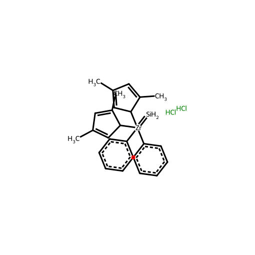 CC1=C[CH]([Zr](=[SiH2])([c]2ccccc2)([c]2ccccc2)[CH]2C=C(C)C=C2C)C(C)=C1.Cl.Cl